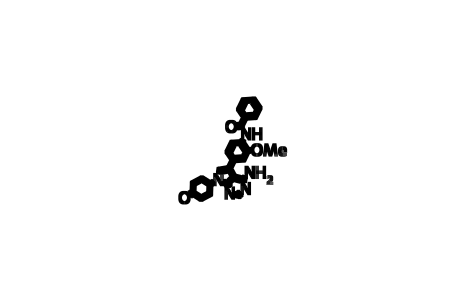 COc1cc(-c2cn(C3CCC(=O)CC3)c3ncnc(N)c23)ccc1NC(=O)c1ccccc1